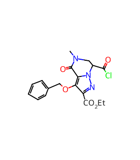 CCOC(=O)c1nn2c(c1OCc1ccccc1)C(=O)N(C)CC2C(=O)Cl